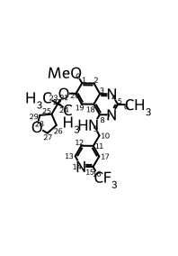 COc1cc2nc(C)nc(NCc3ccnc(C(F)(F)F)c3)c2cc1OC(C)(C)C1CCOC1